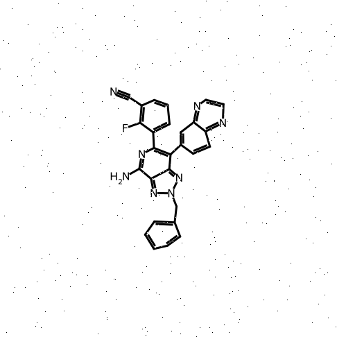 N#Cc1cccc(-c2nc(N)c3nn(Cc4ccccc4)nc3c2-c2ccc3nccnc3c2)c1F